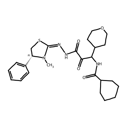 CN1C(=NNC(=O)C(=O)C(NC(=O)C2CCCCC2)C2CCOCC2)SC[C@H]1c1ccccc1